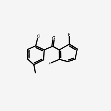 Cc1ccc(Cl)c(C(=O)c2c(F)cccc2F)c1